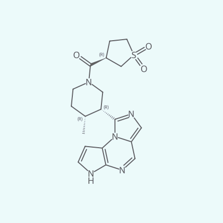 C[C@@H]1CCN(C(=O)[C@H]2CCS(=O)(=O)C2)C[C@@H]1c1ncc2cnc3[nH]ccc3n12